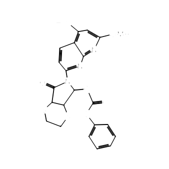 COc1cc(C)c2ccc(N3C(=O)C4SCCSC4C3OC(=O)Oc3ccccc3)nc2n1